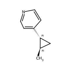 C[C@@H]1C[C@H]1c1ccncc1